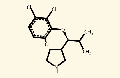 CC(C)[C@H](Oc1c(Cl)ccc(Cl)c1Cl)C1CCNC1